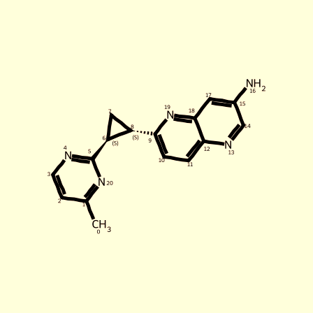 Cc1ccnc([C@H]2C[C@@H]2c2ccc3ncc(N)cc3n2)n1